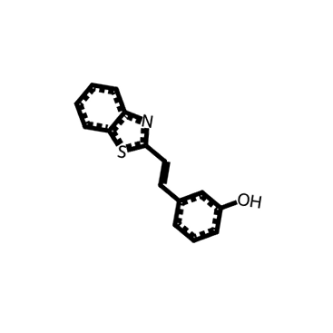 Oc1cccc(C=Cc2nc3ccccc3s2)c1